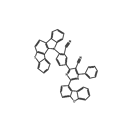 N#Cc1cc(-c2nc(-c3cccc4oc5ccccc5c34)nc(-c3ccccc3)c2C#N)ccc1-n1c2ccccc2c2ccc3sc4ccccc4c3c21